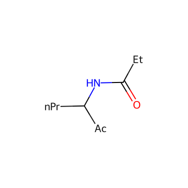 CCCC(NC(=O)CC)C(C)=O